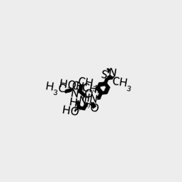 CCC(O)N[C@H](C(=O)N1C[C@H](O)C[C@H]1C(=O)NCc1ccc(-c2scnc2C)cc1)C(C)(C)C